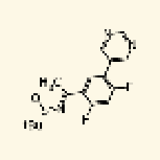 CC(=N[S@@+]([O-])C(C)(C)C)c1cc(-c2cncnc2)c(F)cc1F